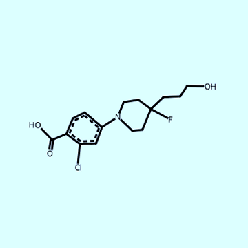 O=C(O)c1ccc(N2CCC(F)(CCCO)CC2)cc1Cl